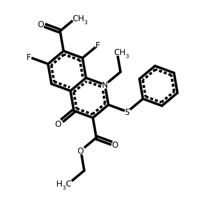 CCOC(=O)c1c(Sc2ccccc2)n(CC)c2c(F)c(C(C)=O)c(F)cc2c1=O